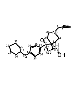 C#CCN1CCC(C(=O)NO)(S(=O)(=O)c2ccc(SC3CCCCC3)cc2)CC1